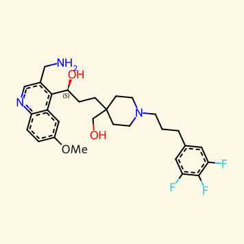 COc1ccc2ncc(CN)c([C@@H](O)CCC3(CO)CCN(CCCc4cc(F)c(F)c(F)c4)CC3)c2c1